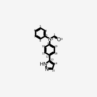 O=CN(c1ccccc1)c1ccc(-c2ccn[nH]2)cc1